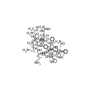 CC(C)C[C@H](NC(=O)[C@H](Cc1ccccc1)NC(=O)[C@H](CCCCN)NC(=O)[C@H](CCCCN)NC(=O)[C@H](CC(N)=O)NC(=O)[C@H](CO)NC(=O)[C@H](CCC(=O)O)NC(=O)[C@@H](N)[C@@H](C)O)C(=O)N1CCC[C@H]1C(=O)N[C@@H](Cc1ccccc1)C(=O)N[C@@H](CCC(N)=O)C(=O)N[C@@H](CCC(N)=O)C(=O)N[C@@H](Cc1ccccc1)C(=O)NCC(=O)N[C@@H](CCCNC(=N)N)C(=O)O